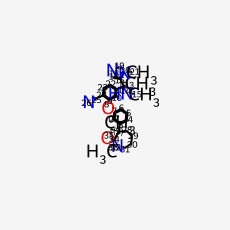 CC[C@@]1(c2cccc(Oc3cc(C(C)(NC)c4cncn4C)ccc3C#N)c2)CCCCN(C)C1=O